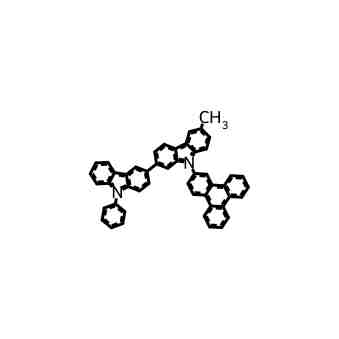 Cc1ccc2c(c1)c1ccc(-c3ccc4c(c3)c3ccccc3n4-c3ccccc3)cc1n2-c1ccc2c3ccccc3c3ccccc3c2c1